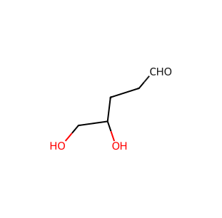 O=CCCC(O)CO